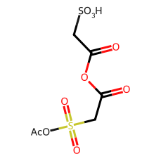 CC(=O)OS(=O)(=O)CC(=O)OC(=O)CS(=O)(=O)O